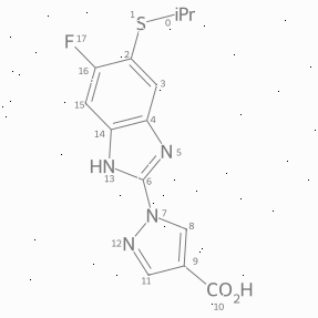 CC(C)Sc1cc2nc(-n3cc(C(=O)O)cn3)[nH]c2cc1F